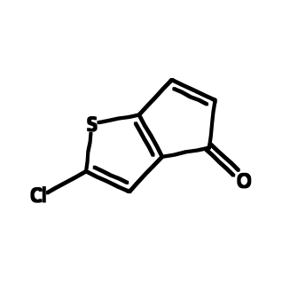 O=C1C=Cc2sc(Cl)cc21